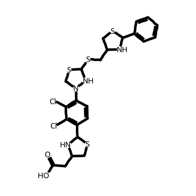 O=C(O)CC1CSC(c2ccc(N3CSC(SCC4CSC(c5ccccc5)N4)N3)c(Cl)c2Cl)N1